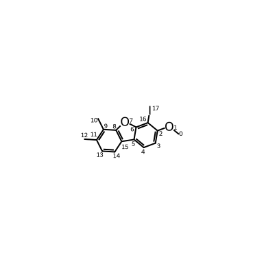 COc1ccc2c(oc3c(C)c(C)ccc32)c1I